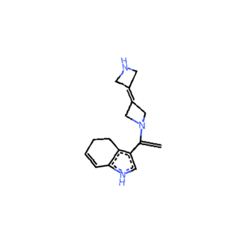 C=C(c1c[nH]c2c1CCC=C2)N1CC(=C2CNC2)C1